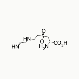 N=CCNCCS(=O)(=O)CC(N)C(=O)O